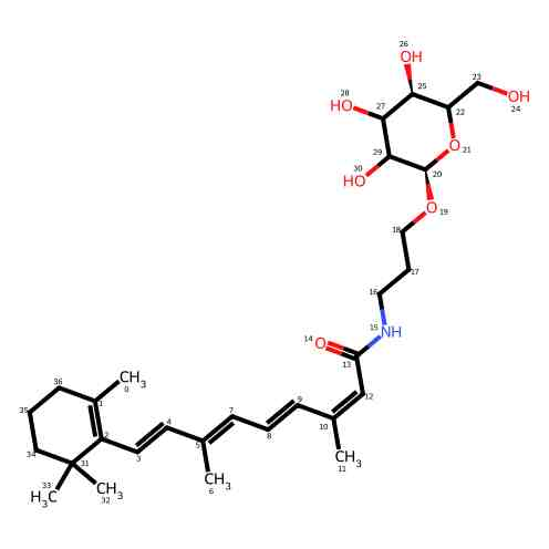 CC1=C(/C=C/C(C)=C/C=C/C(C)=C\C(=O)NCCCO[C@@H]2OC(CO)[C@H](O)C(O)C2O)C(C)(C)CCC1